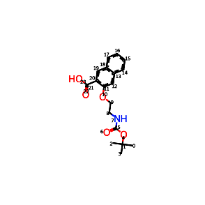 CC(C)(C)OC(=O)NCCOc1cc2ccccc2cc1C(=O)O